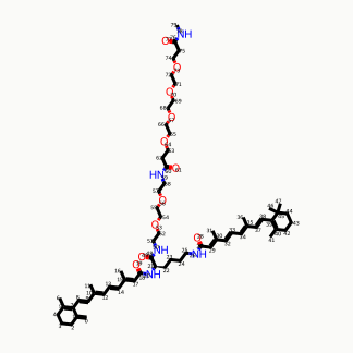 C=C1CCCC(C)=C1/C=C/C(C)=C/C=C/C(C)=C/C(=O)N[C@H](CCCCNC(=O)/C=C(C)/C=C/C=C(C)/C=C/C1=C(C)CCCC1(C)C)C(=O)NCCOCCOCCNC(=O)CCOCCOCCOCCOCCC(=O)NC